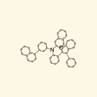 c1ccc(-c2c(-c3ccccc3N(c3cccc(-c4cccc5ccccc45)c3)c3ccc4ccccc4c3)oc3ccccc23)cc1